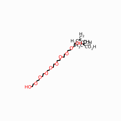 C=C(C)C(=O)O.C=C(C)C(=O)O.OCCOCCOCCOCCOCCOCCOCCOCCOCCO